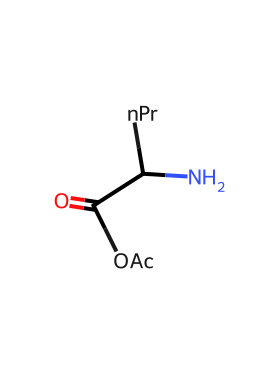 CCCC(N)C(=O)OC(C)=O